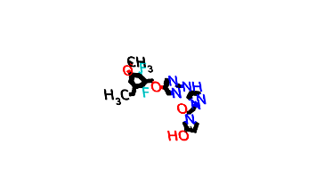 CCc1cc(OC)c(F)c(COc2cnc(Nc3cnn(CC(=O)N4CC[C@H](O)C4)c3)nc2)c1F